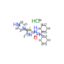 Cc1nc(NC(=O)N(C2CCCCC2)C2CCCCC2)sc1N1CCNCC1.Cl